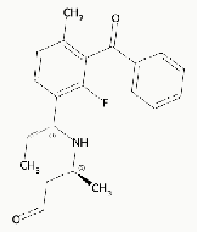 CC[C@@H](N[C@@H](C)CC=O)c1ccc(C)c(C(=O)c2ccccc2)c1F